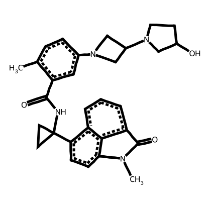 Cc1ccc(N2CC(N3CCC(O)C3)C2)cc1C(=O)NC1(c2ccc3c4c(cccc24)C(=O)N3C)CC1